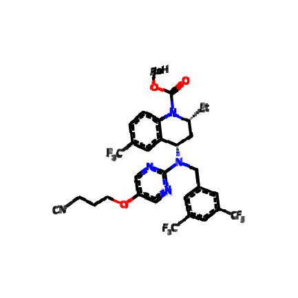 [C-]#[N+]CCCOc1cnc(N(Cc2cc(C(F)(F)F)cc(C(F)(F)F)c2)[C@H]2C[C@@H](CC)N(C(=O)[O][RaH])c3ccc(C(F)(F)F)cc32)nc1